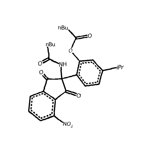 CCCCC(=O)NC1(c2ccc(C(C)C)cc2OC(=O)CCCC)C(=O)c2cccc([N+](=O)[O-])c2C1=O